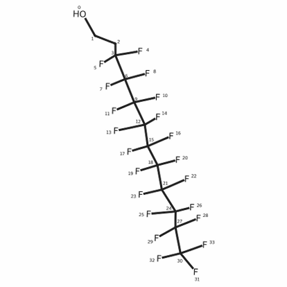 OCCC(F)(F)C(F)(F)C(F)(F)C(F)(F)C(F)(F)C(F)(F)C(F)(F)C(F)(F)C(F)(F)C(F)(F)F